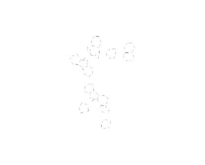 c1ccc(-c2nc3ccc4c5cc(-c6ccc7c(c6)c6ccccc6n7-c6nc(-c7ccc(-c8cccc9ccccc89)cc7)c7ccccc7n6)ccc5n(-c5ccccc5)c4c3s2)cc1